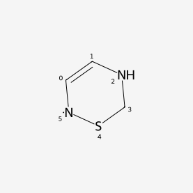 C1=CNCS[N]1